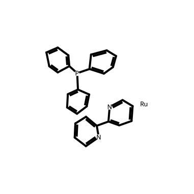 [Ru].c1ccc(-c2ccccn2)nc1.c1ccc(P(c2ccccc2)c2ccccc2)cc1